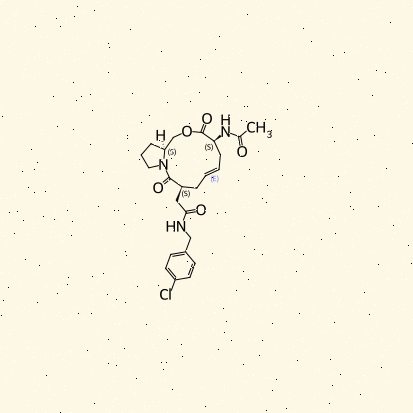 CC(=O)N[C@H]1C/C=C/C[C@@H](CC(=O)NCc2ccc(Cl)cc2)C(=O)N2CCC[C@H]2COC1=O